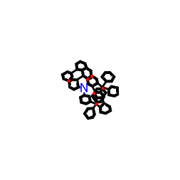 c1ccc(-c2cccc3cccc(-c4ccccc4N(c4cccc(C5(c6ccccc6)c6ccccc6-c6ccccc65)c4)c4cccc5c4-c4ccccc4C5(c4ccccc4)c4ccccc4)c23)cc1